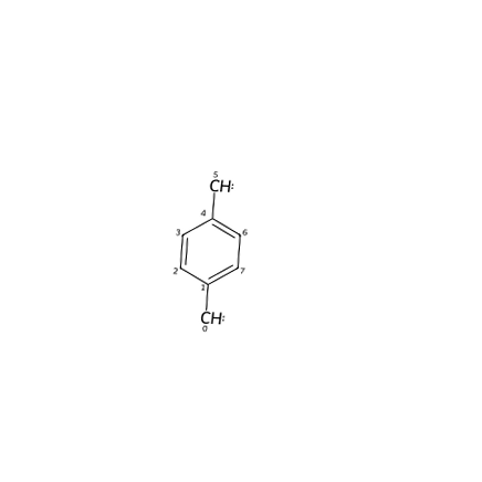 [CH]c1ccc([CH])cc1